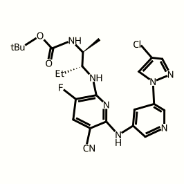 CC[C@@H](Nc1nc(Nc2cncc(-n3cc(Cl)cn3)c2)c(C#N)cc1F)[C@H](C)NC(=O)OC(C)(C)C